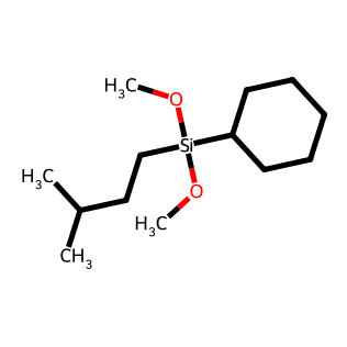 CO[Si](CCC(C)C)(OC)C1CCCCC1